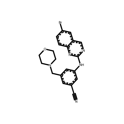 N#Cc1cc(CN2CCOCC2)cc(Nc2ncc3cc(Br)ccc3n2)c1